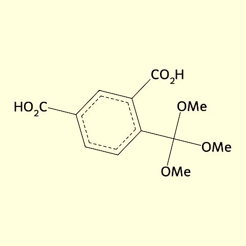 COC(OC)(OC)c1ccc(C(=O)O)cc1C(=O)O